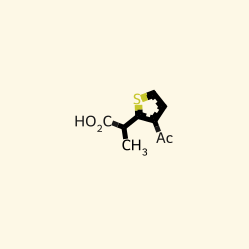 CC(=O)c1ccsc1C(C)C(=O)O